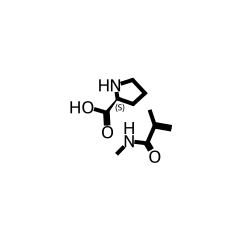 C=C(C)C(=O)NC.O=C(O)[C@@H]1CCCN1